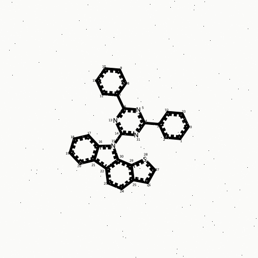 c1ccc(-c2nc(-c3ccccc3)nc(-n3c4ccccc4c4ccc5ccsc5c43)n2)cc1